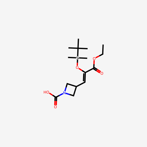 CCOC(=O)/C(=C/C1CN(C(=O)O)C1)O[Si](C)(C)C(C)(C)C